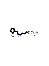 O=C(O)CCC/C=C\CC1=CCCC1=O